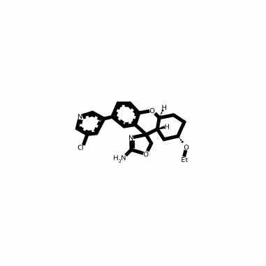 CCO[C@H]1CC[C@@H]2Oc3ccc(-c4cncc(Cl)c4)cc3C3(COC(N)=N3)[C@H]2C1